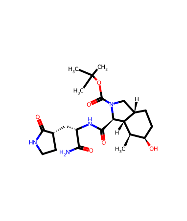 C[C@H]1[C@H]2[C@@H](CC[C@H]1O)CN(C(=O)OC(C)(C)C)[C@@H]2C(=O)N[C@@H](C[C@@H]1CCNC1=O)C(N)=O